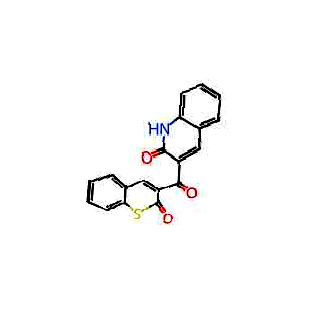 O=C(c1cc2ccccc2[nH]c1=O)c1cc2ccccc2sc1=O